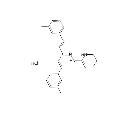 Cc1cccc(/C=C/C(/C=C/c2cccc(C)c2)=NNC2=NCCCN2)c1.Cl